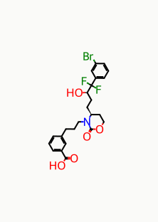 O=C(O)c1cccc(CCCN2C(=O)OCC[C@@H]2CC[C@@H](O)C(F)(F)c2cccc(Br)c2)c1